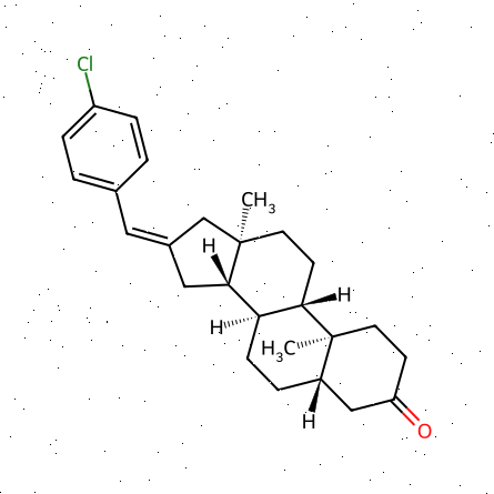 C[C@]12CC[C@H]3[C@@H](CC[C@H]4CC(=O)CC[C@@]43C)[C@@H]1C/C(=C/c1ccc(Cl)cc1)C2